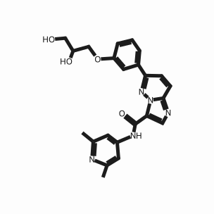 Cc1cc(NC(=O)c2cnc3ccc(-c4cccc(OCC(O)CO)c4)nn23)cc(C)n1